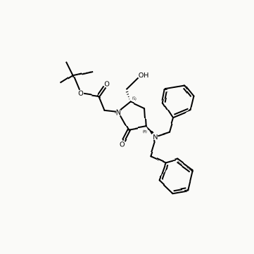 CC(C)(C)OC(=O)CN1C(=O)[C@H](N(Cc2ccccc2)Cc2ccccc2)C[C@H]1CO